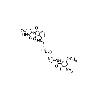 COc1cc(N)c(F)c(C(=O)N[C@H]2CCN(CC(=O)NCCCNc3cccc4c3C(=O)N(C3CCC(=O)NC3=O)C4=O)C2)c1